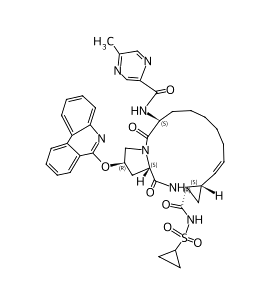 Cc1cnc(C(=O)N[C@H]2CCCCCC=C[C@@H]3C[C@@]3(C(=O)NS(=O)(=O)C3CC3)NC(=O)[C@@H]3C[C@@H](Oc4nc5ccccc5c5ccccc45)CN3C2=O)cn1